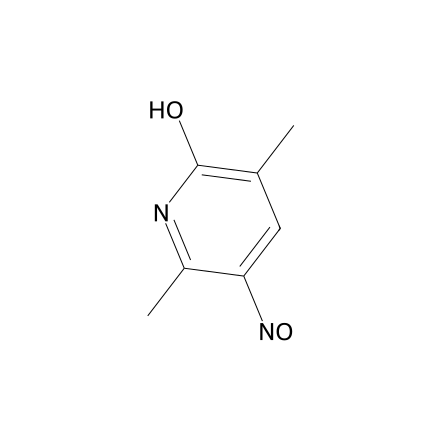 Cc1cc(N=O)c(C)nc1O